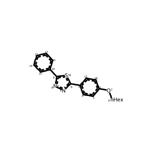 CCCCCCOc1ccc(-c2nnc(-c3ccccc3)s2)cc1